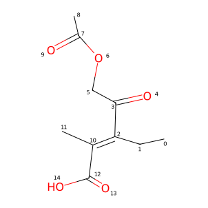 CCC(C(=O)COC(C)=O)=C(C)C(=O)O